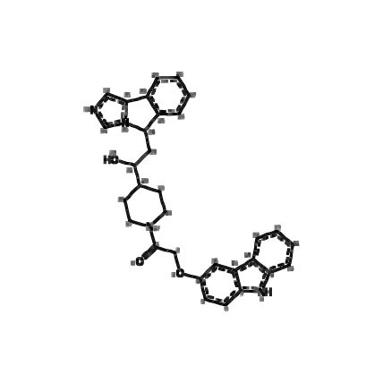 O=C(COc1ccc2[nH]c3ccccc3c2c1)N1CCC(C(O)CC2c3ccccc3-c3cncn32)CC1